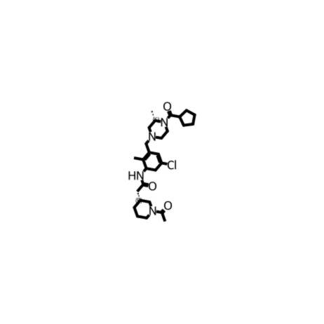 CC(=O)N1CCC[C@H](CC(=O)NC2CC(Cl)=CC(CN3CCN(C(=O)C4CCCC4)[C@@H](C)C3)=C2C)C1